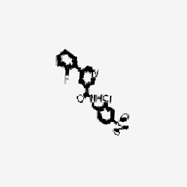 CS(=O)(=O)c1ccc(CNC(=O)c2cncc(-c3ccccc3F)c2)c(Cl)c1